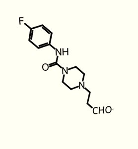 O=[C]CCN1CCN(C(=O)Nc2ccc(F)cc2)CC1